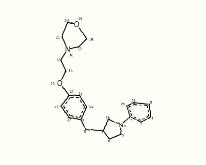 c1ccc(N2CCC(Cc3ccc(OCCN4CCOCC4)cc3)C2)cc1